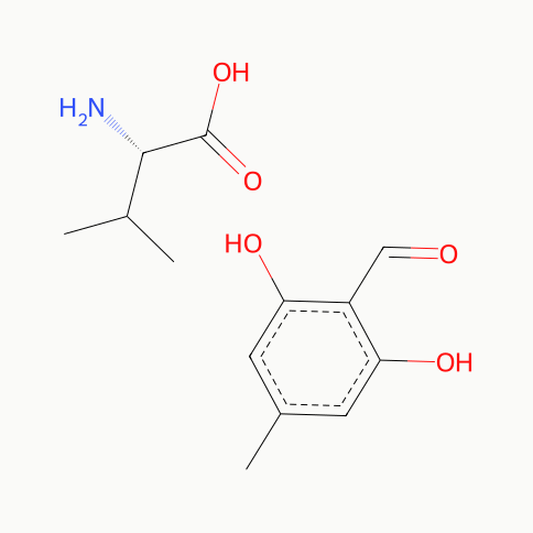 CC(C)[C@H](N)C(=O)O.Cc1cc(O)c(C=O)c(O)c1